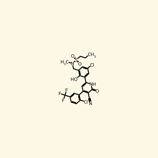 CCCS(=O)(=O)N(C)Cc1cc(Cl)cc(-c2cc(-c3cc(C(F)(F)F)ccc3Cl)c(C#N)c(=O)[nH]2)c1O